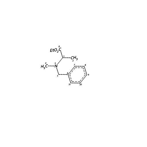 CCOC(=O)C(C)N(C)Cc1ccccc1